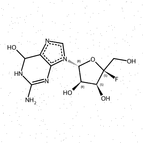 NC1=Nc2c(ncn2[C@@H]2O[C@](F)(CO)[C@@H](O)[C@H]2O)C(O)N1